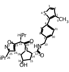 Cc1ccsc1-c1ccc(CNC(=O)[C@@H]2C[C@@H](O)CN2C(=O)[C@@H](c2cc(C(C)C)no2)C(C)C)cc1